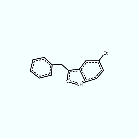 [CH2]Cc1ccc2[nH]nc(Cc3ccccc3)c2c1